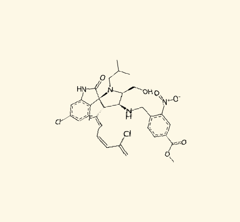 C=C(Cl)/C=C\C=C(/F)[C@H]1[C@H](NCc2ccc(C(=O)OC)cc2[N+](=O)[O-])[C@H](CO)N(CC(C)C)[C@@]12C(=O)Nc1cc(Cl)ccc12